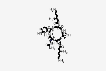 N=C1NCCC([C@@H]2NC(=O)/C(=C/NC(N)=O)NC(=O)[C@H](CNC(=O)C[C@@H](N)CCCN)NC(=O)[C@H](CO)NC(=O)[C@@H](NC(=O)C[C@@H](N)CCCN)CNC2=O)N1